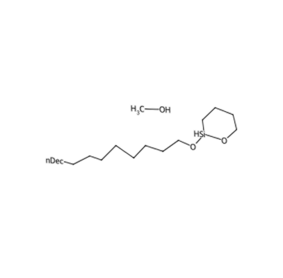 CCCCCCCCCCCCCCCCCCO[SiH]1CCCCO1.CO